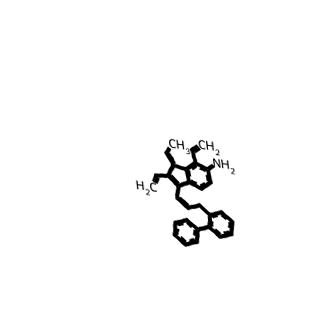 C=CC1=C(/C=C\Cc2ccccc2-c2ccccc2)c2ccc(N)c(C=C)c2/C1=C\C